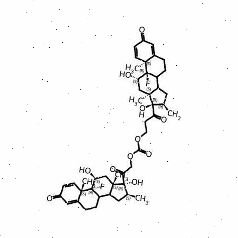 C[C@@H]1CC2C3CCC4=CC(=O)C=C[C@]4(C)[C@@]3(F)[C@@H](O)C[C@]2(C)[C@@]1(O)C(=O)[CH]COC(=O)OCC(=O)[C@@]1(O)[C@@H](C)CC2C3CCC4=CC(=O)C=C[C@]4(C)[C@@]3(F)[C@@H](O)C[C@@]21C